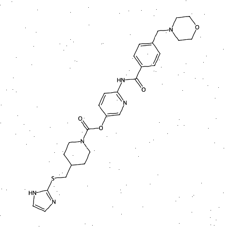 O=C(Nc1ccc(OC(=O)N2CCC(CSc3ncc[nH]3)CC2)cn1)c1ccc(CN2CCOCC2)cc1